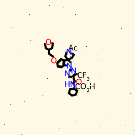 CC(=O)N1CCC2(CC1)CN(c1ncc(C(=O)NC3(C(=O)O)CCCCC3)c(C(F)(F)F)n1)c1ccc(OCCC3CCOCC3)cc12